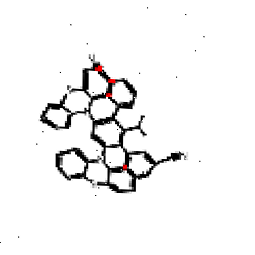 CC(C)c1c(-c2cccc(C#N)c2)c(N2c3ccccc3Sc3ccccc32)cc(N2c3ccccc3Sc3ccccc32)c1-c1cccc(C#N)c1